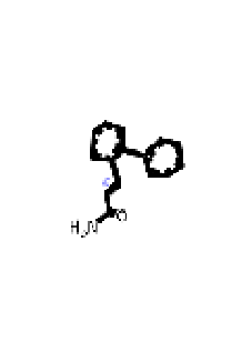 NC(=O)/C=C/c1ccccc1-c1ccccc1